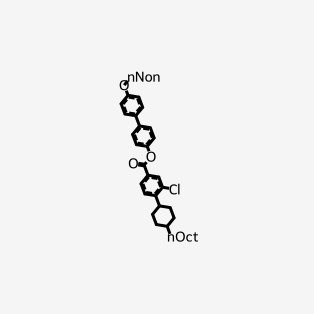 CCCCCCCCCOc1ccc(-c2ccc(OC(=O)c3ccc(C4CCC(CCCCCCCC)CC4)c(Cl)c3)cc2)cc1